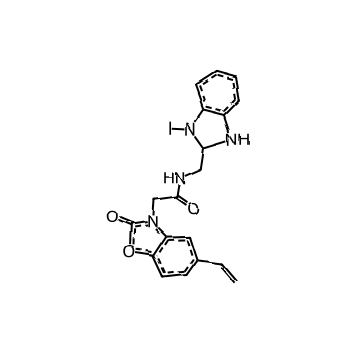 C=Cc1ccc2oc(=O)n(CC(=O)NCC3Nc4ccccc4N3I)c2c1